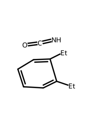 CCc1ccccc1CC.N=C=O